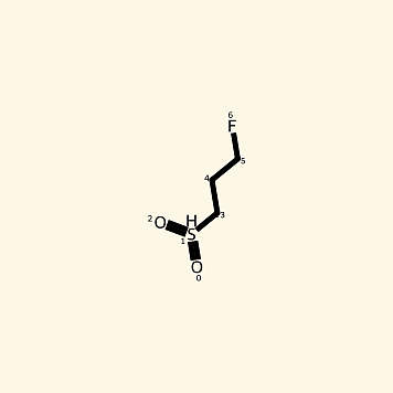 O=[SH](=O)[CH]CCF